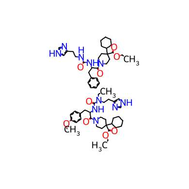 CCOC(=O)C1(C2CCCCC2)CCN(C(=O)C(Cc2ccc(OC)cc2)NC(=O)N(CC)CCc2c[nH]cn2)CC1.CCOC(=O)C1(C2CCCCC2)CCN(C(=O)C(Cc2ccccc2)NC(=O)NCCc2c[nH]cn2)CC1